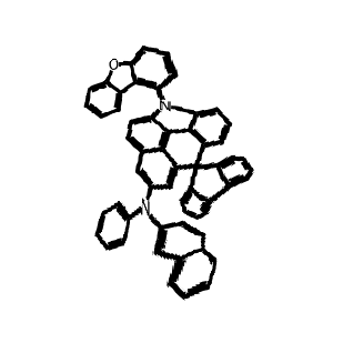 c1ccc(N(c2ccc3ccccc3c2)c2cc3c4c(ccc5c4c4c(cccc4n5-c4cccc5oc6ccccc6c45)C34c3ccccc3-c3ccccc34)c2)cc1